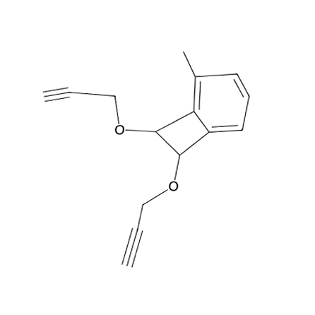 C#CCOC1c2cccc(C)c2C1OCC#C